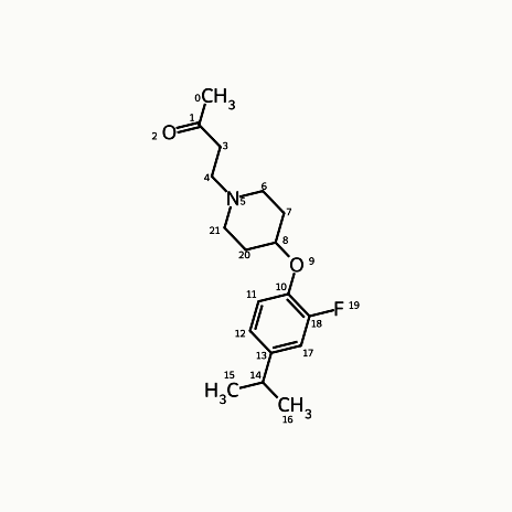 CC(=O)CCN1CCC(Oc2ccc(C(C)C)cc2F)CC1